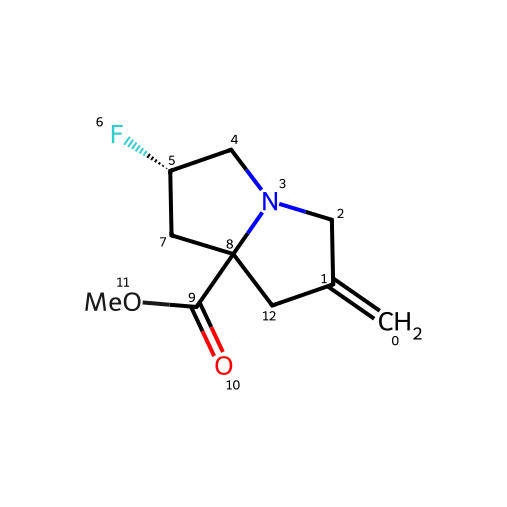 C=C1CN2C[C@@H](F)CC2(C(=O)OC)C1